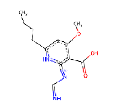 CCCCc1cc(OC)c(C(=O)O)/c(=N/C=N)[nH]1